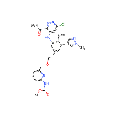 CNC(=O)c1nnc(Cl)cc1Nc1cc(CCOCc2cccc(NC(=O)OC(C)(C)C)n2)cc(-c2cnn(C)c2)c1OC